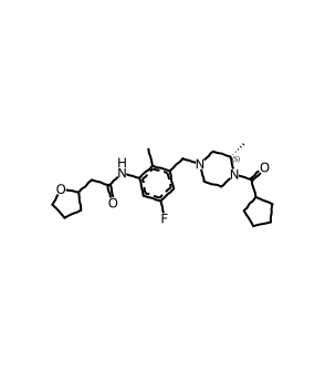 Cc1c(CN2CCN(C(=O)C3CCCC3)[C@@H](C)C2)cc(F)cc1NC(=O)CC1CCCO1